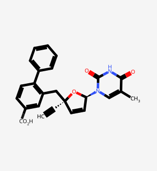 C#C[C@@]1(Cc2cc(C(=O)O)ccc2-c2ccccc2)C=C[C@H](n2cc(C)c(=O)[nH]c2=O)O1